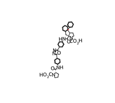 O=C(Nc1ccc(-c2nnc(-c3ccc(NC(=O)[C@]4(Cc5ccccc5)C(Cc5ccccc5)CCN4C(=O)O)cc3)o2)cc1)[C@@H]1CCCN1C(=O)O